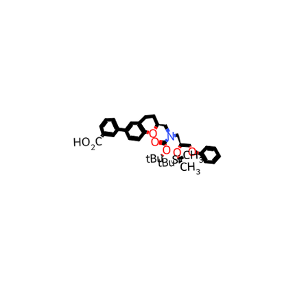 CC(C)(C)OC(=O)N(C[C@@H]1CCc2cc(-c3cccc(C(=O)O)c3)ccc2O1)C[C@@H](COc1ccccc1)O[Si](C)(C)C(C)(C)C